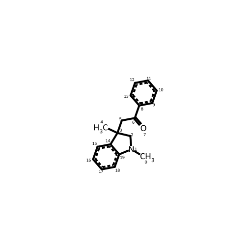 CN1CC(C)(CC(=O)c2ccccc2)c2ccccc21